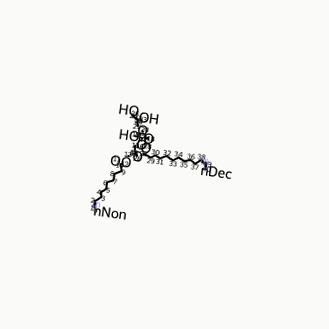 CCCCCCCCC/C=C\CCCCCCCC(=O)OC[C@H](COP(=O)(O)OC[C@@H](O)CO)OC(=O)CCCCCCCCC/C=C\CCCCCCCCCC